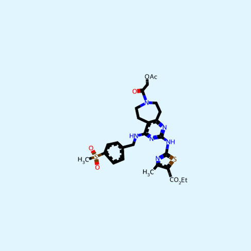 CCOC(=O)c1sc(Nc2nc3c(c(NCc4ccc(S(C)(=O)=O)cc4)n2)CCN(C(=O)COC(C)=O)CC3)nc1C